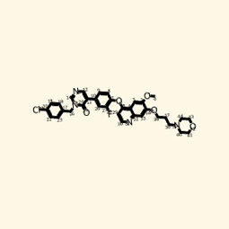 COc1cc2c(Oc3ccc(-c4cncn(Cc5ccc(Cl)cc5)c4=O)cc3F)ccnc2cc1OCCCN1CCOCC1